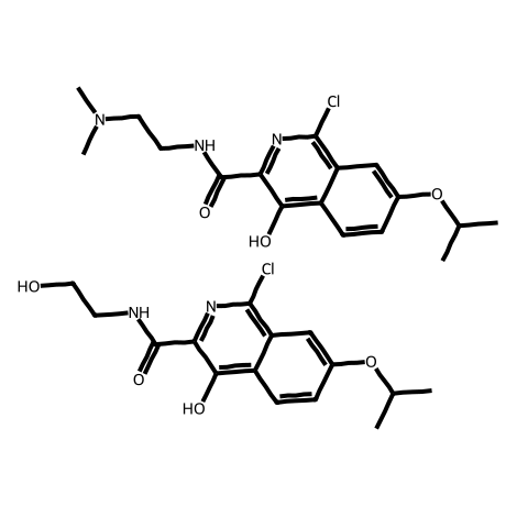 CC(C)Oc1ccc2c(O)c(C(=O)NCCN(C)C)nc(Cl)c2c1.CC(C)Oc1ccc2c(O)c(C(=O)NCCO)nc(Cl)c2c1